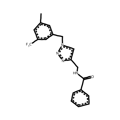 Cc1cc(Cn2cc(CNC(=O)c3ccccc3)nn2)cc(C(F)(F)F)c1